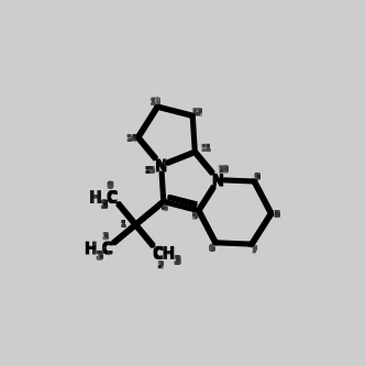 CC(C)(C)C1=C2CCCCN2C2CCCN12